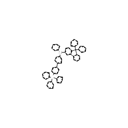 c1ccc(N(c2ccc(-c3ccc(S(c4ccccc4)(c4ccccc4)c4ccccc4)cc3)cc2)c2ccc3c(c2)-c2ccccc2C3(c2ccccc2)c2ccccc2)cc1